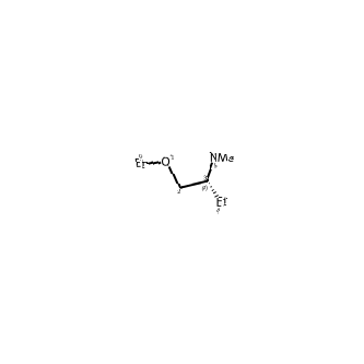 CCOC[C@@H](CC)NC